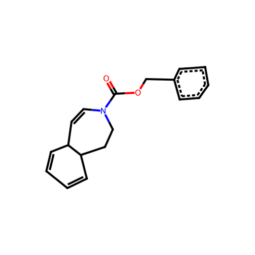 O=C(OCc1ccccc1)N1C=CC2C=CC=CC2CC1